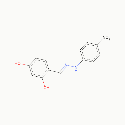 O=[N+]([O-])c1ccc(N/N=C/c2ccc(O)cc2O)cc1